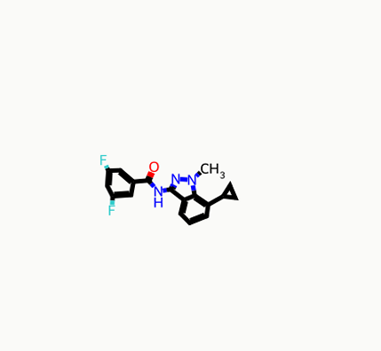 Cn1nc(NC(=O)c2cc(F)cc(F)c2)c2cccc(C3CC3)c21